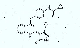 O=C1NN=C(C2CC2)C1=C1C=C(Sc2ccc(NC(=O)C3CC3)cc2)c2ccccc2N1